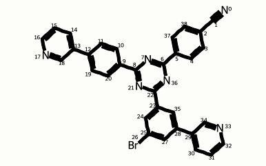 N#Cc1ccc(-c2nc(-c3ccc(-c4cccnc4)cc3)nc(-c3cc(Br)cc(-c4cccnc4)c3)n2)cc1